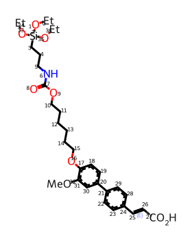 CCO[Si](CCCNC(=O)OCCCCCCOc1ccc(-c2ccc(/C=C/C(=O)O)cc2)cc1OC)(OCC)OCC